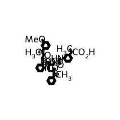 COc1cccc(N(C)C(=O)COc2ccccc2N(CC(=O)N(C)c2ccccc2)C(=O)CNC(=O)Nc2cccc(C(C)C(=O)O)c2)c1